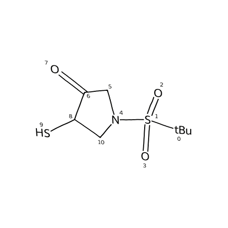 CC(C)(C)S(=O)(=O)N1CC(=O)C(S)C1